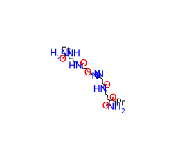 CCNC(CCCCNC(=O)CCOCCn1cc(CCC(=O)NCCCCC(C(N)=O)C(=O)C(C)C)nn1)C(N)=O